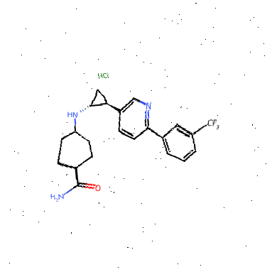 Cl.NC(=O)C1CCC(N[C@@H]2C[C@H]2c2ccc(-c3cccc(C(F)(F)F)c3)nc2)CC1